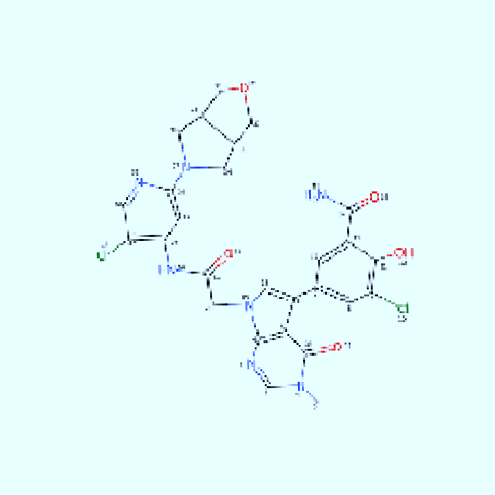 Cn1cnc2c(c(-c3cc(Cl)c(O)c(C(N)=O)c3)cn2CC(=O)Nc2cc(N3CC4COCC4C3)ncc2Cl)c1=O